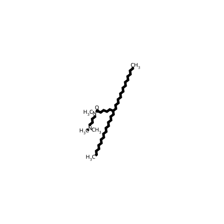 CCCCCCCCCCCCCCCCC(CCCCCCCCCCCCCCCC)CCCCC(=O)N(C)CCCCN(C)C